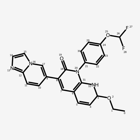 CCOC1C=Cc2cc(-c3ccc4nccn4c3)c(=O)n(-c3ccc(OC(F)F)cc3)c2N1